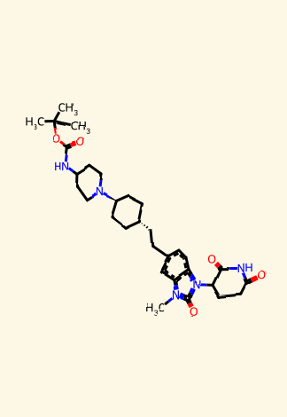 Cn1c(=O)n(C2CCC(=O)NC2=O)c2ccc(CC[C@H]3CC[C@H](N4CCC(NC(=O)OC(C)(C)C)CC4)CC3)cc21